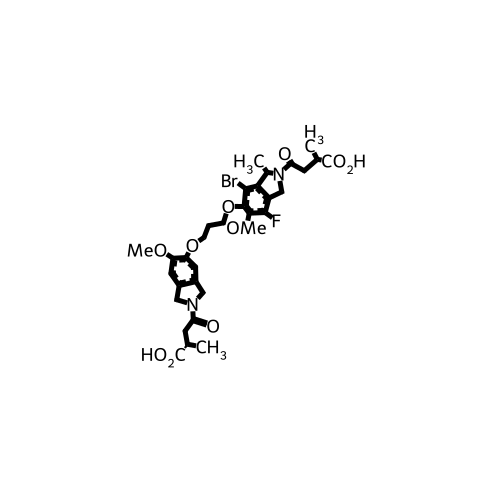 COc1cc2c(cc1OCCCOc1c(Br)c3c(c(F)c1OC)CN(C(=O)CC(C)C(=O)O)C3C)CN(C(=O)C[C@H](C)C(=O)O)C2